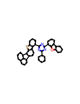 c1ccc(-c2nc(-c3cccc4c3oc3ccccc34)nc(-c3cccc4sc5c6c(ccc5c34)-c3cccc4cccc-6c34)n2)cc1